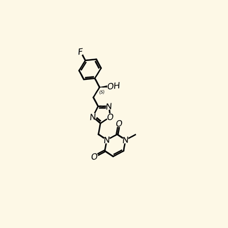 Cn1ccc(=O)n(Cc2nc(C[C@H](O)c3ccc(F)cc3)no2)c1=O